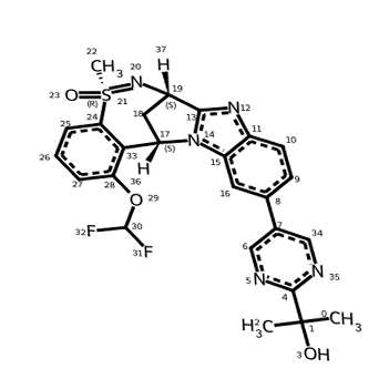 CC(C)(O)c1ncc(-c2ccc3nc4n(c3c2)[C@H]2C[C@@H]4N=[S@](C)(=O)c3cccc(OC(F)F)c32)cn1